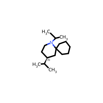 CC(C)[C@H]1CCN(C(C)C)C2(CCCCC2)C1